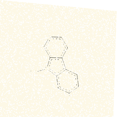 Sn1c2ccccc2c2ccncc21